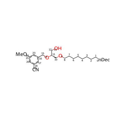 CCCCCCCCCCCCCCCCCCOC[C@H](CO)OCc1cc(C#N)cc(OC)c1